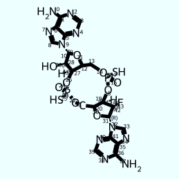 Nc1ncnc2c1ncn2[C@@H]1OC2CO[P@](=O)(S)O[C@@H]3C(CO[P@@](=O)(S)O[C@H]2[C@H]1O)O[C@@H](n1cnc2c(N)ncnc21)[C@@H]3F